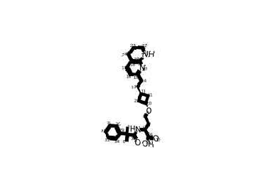 CC(C)(C(=O)NC(CCO[C@H]1C[C@H](CCc2ccc3c(n2)NCCC3)C1)C(=O)O)c1ccccc1